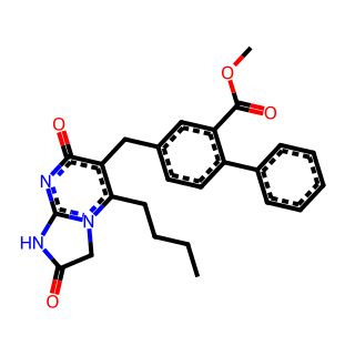 CCCCc1c(Cc2ccc(-c3ccccc3)c(C(=O)OC)c2)c(=O)nc2n1CC(=O)N2